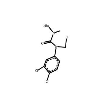 CCCCN(C)C(=O)N(CCl)c1ccc(Cl)c(Cl)c1